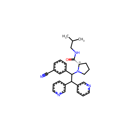 CC(C)CNC(=O)[C@@H]1CCCN1C(c1cccc(C#N)c1)C(c1cccnc1)c1cccnc1